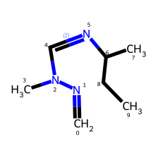 C=NN(C)/C=N\C(C)CC